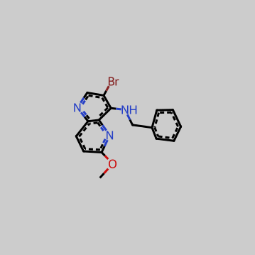 COc1ccc2ncc(Br)c(NCc3ccccc3)c2n1